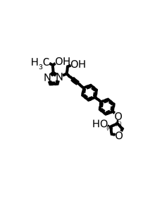 CC(O)c1nccn1C(C#Cc1ccc(-c2ccc(O[C@H]3COC[C@H]3O)cc2)cc1)CO